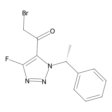 C[C@H](c1ccccc1)n1nnc(F)c1C(=O)CBr